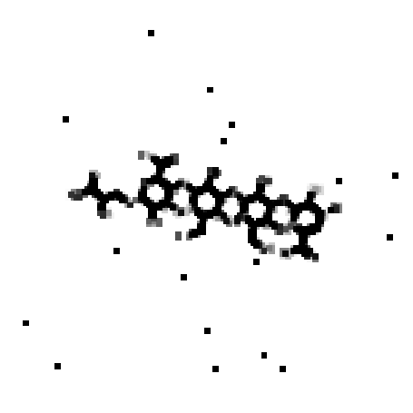 NC(CO[C@@H]1OC(C(=O)O)[C@@H](O[C@@H]2OC(CO)[C@H](O)[C@H](O[C@@H]3OC(CO)[C@H](O)[C@H](O[C@@H]4OC(C(=O)O)=C[C@@H](O)C4O)C3O)C2O)[C@@H](O)C1O)C(=O)O